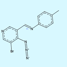 Cc1ccc(/N=C/c2cncc(Br)c2N=[N+]=[N-])cc1